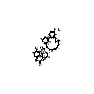 Nc1ccc2c(c1)NC(=O)CC/C=C\C[C@@H](C(=O)N1CCC[C@@]3(C1)OC(=O)Nc1ccc(Cl)c(F)c13)c1cc-2ccn1